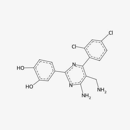 NCc1c(N)nc(-c2ccc(O)c(O)c2)nc1-c1ccc(Cl)cc1Cl